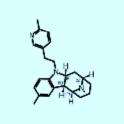 Cc1ccc2c(c1)[C@@H]1[C@@H](C[C@@H]3CCC[C@H]1N3C)N2CCc1ccc(C)nc1